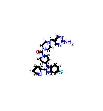 Nc1ncc(CN2CCN(C(=O)N3CCC(n4c(-c5ccccn5)nc5cc(F)ccc54)CC3)CC2)cn1